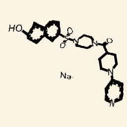 O=C(C1CCN(c2ccncc2)CC1)N1CCN(S(=O)(=O)c2ccc3cc(O)ccc3c2)CC1.[Na]